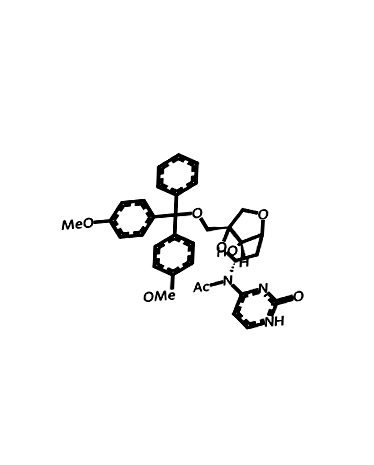 COc1ccc(C(OC[C@]23COC(C[C@H](N(C(C)=O)c4cc[nH]c(=O)n4)O2)[C@@H]3O)(c2ccccc2)c2ccc(OC)cc2)cc1